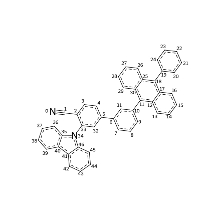 N#Cc1ccc(-c2cccc(-c3c4ccccc4c(-c4ccccc4)c4ccccc34)c2)cc1-n1c2ccccc2c2ccccc21